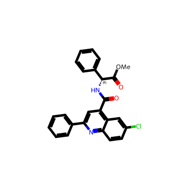 COC(=O)[C@H](NC(=O)c1cc(-c2ccccc2)nc2ccc(Cl)cc12)c1ccccc1